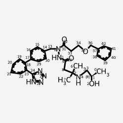 C[C@@H](O)CNC(C)(C)CC(=O)NN(Cc1ccc(-c2ccccc2-c2nnn[nH]2)cc1)C(=O)CCOCc1ccccc1